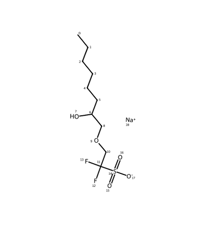 CCCCCCC(O)COCC(F)(F)S(=O)(=O)[O-].[Na+]